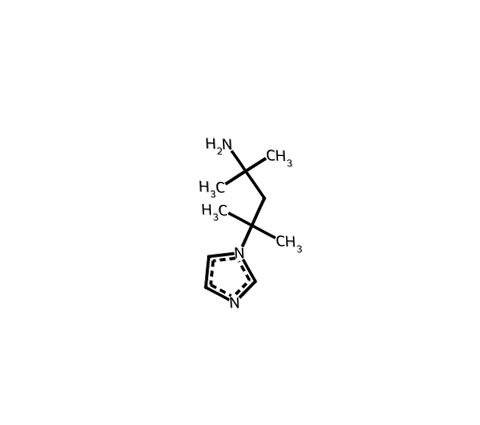 CC(C)(N)CC(C)(C)n1ccnc1